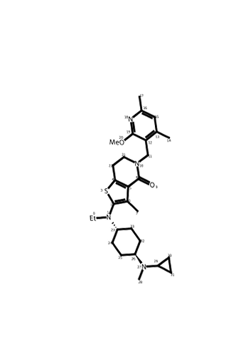 CCN(c1sc2c(c1C)C(=O)N(Cc1c(C)cc(C)nc1OC)CC2)[C@H]1CC[C@H](N(C)C2CC2)CC1